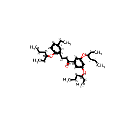 CCCC(CC)Oc1cc(OC(CC)CCC)cc(C(=O)CCc2cc(CC)ccc2OC(CC)CCC)c1